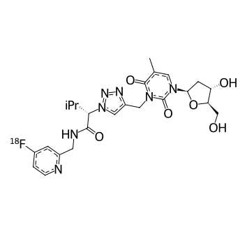 Cc1cn([C@H]2C[C@H](O)[C@@H](CO)O2)c(=O)n(Cc2cn([C@H](C(=O)NCc3cc([18F])ccn3)C(C)C)nn2)c1=O